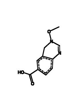 CON1C=Nc2ccc(C(=O)O)cc2C1